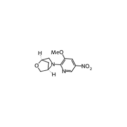 COc1cc([N+](=O)[O-])cnc1N1C[C@H]2C[C@@H]1CO2